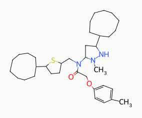 Cc1ccc(OCC(=O)N(CC2CCC(C3CCCCCCCC3)S2)C2CC(C3CCCCCCCC3)NN2C)cc1